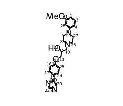 COc1cccc(N2CCN(CC(O)COc3ccc(-n4cncn4)cc3)CC2)c1